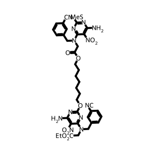 CCOC(=O)CN(Cc1cccc(C#N)c1)c1nc(OCCCCCCCOC(=O)CN(Cc2cccc(C#N)c2)c2nc(SC)nc(N)c2[N+](=O)[O-])nc(N)c1[N+](=O)[O-]